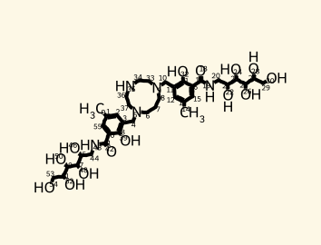 Cc1cc(CN2CCCN(Cc3cc(C)cc(C(=O)NCC(O)C(O)C(O)C(O)CO)c3O)CCNCC2)c(O)c(C(=O)NCC(O)C(O)C(O)C(O)CO)c1